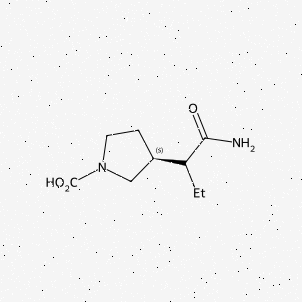 CCC(C(N)=O)[C@@H]1CCN(C(=O)O)C1